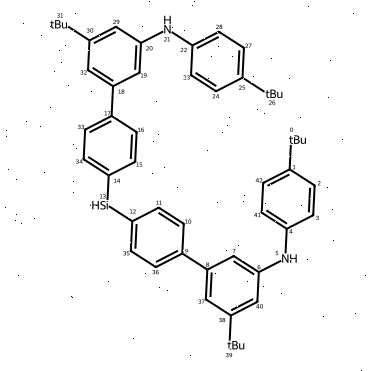 CC(C)(C)c1ccc(Nc2cc(-c3ccc([SiH]c4ccc(-c5cc(Nc6ccc(C(C)(C)C)cc6)cc(C(C)(C)C)c5)cc4)cc3)cc(C(C)(C)C)c2)cc1